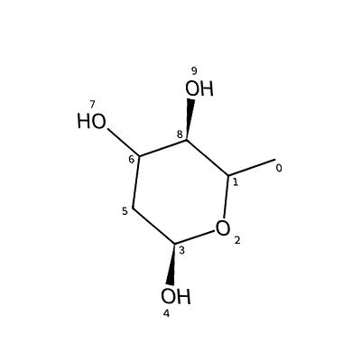 CC1O[C@@H](O)CC(O)[C@H]1O